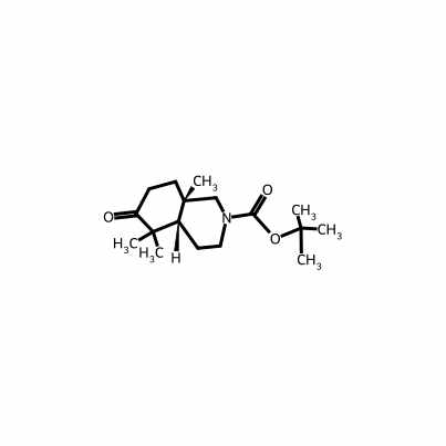 CC(C)(C)OC(=O)N1CC[C@@H]2C(C)(C)C(=O)CC[C@]2(C)C1